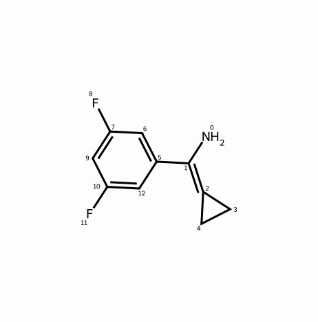 NC(=C1CC1)c1cc(F)cc(F)c1